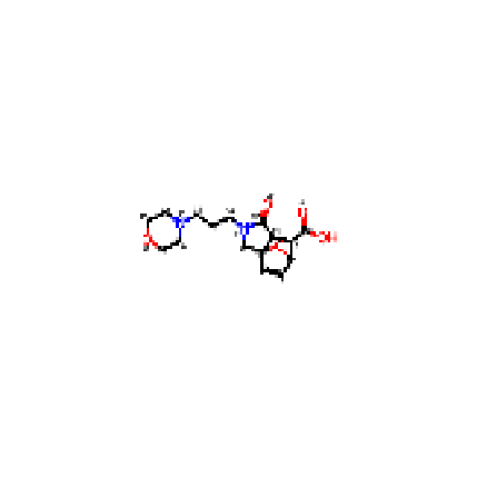 O=C(O)C1C2C=CC3(CN(CCCN4CCOCC4)C(=O)C13)O2